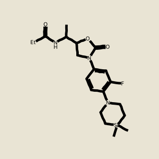 CCC(=O)NC(C)C1CN(c2ccc(N3CC[Si](C)(C)CC3)c(F)c2)C(=O)O1